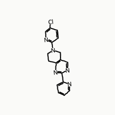 Clc1ccc(N2CCc3nc(-c4ccccn4)ncc3C2)nc1